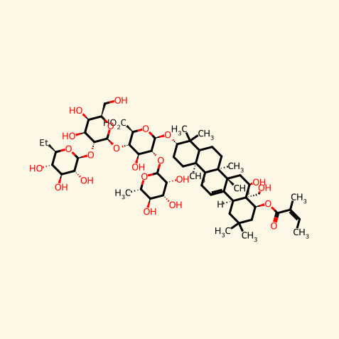 C/C=C(/C)C(=O)O[C@H]1CC(C)(C)C[C@H]2C3=CCC4[C@@]5(C)CC[C@H](O[C@@H]6O[C@H](C(=O)O)[C@@H](O[C@@H]7O[C@H](CO)[C@H](O)[C@H](O)[C@H]7O[C@@H]7O[C@H](CC)[C@@H](O)[C@H](O)[C@H]7O)[C@H](O)[C@H]6OC6O[C@@H](C)[C@H](O)[C@@H](O)[C@H]6O)C(C)(C)C5CC[C@@]4(C)[C@]3(C)C[C@@H](O)[C@@]12CO